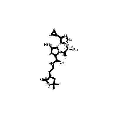 CC1(C)CC(CCNC(=O)C2CC(O)CN2C(=O)[C@@H](n2cc(C3CC3)nn2)C(C)(C)C)C(=O)N1